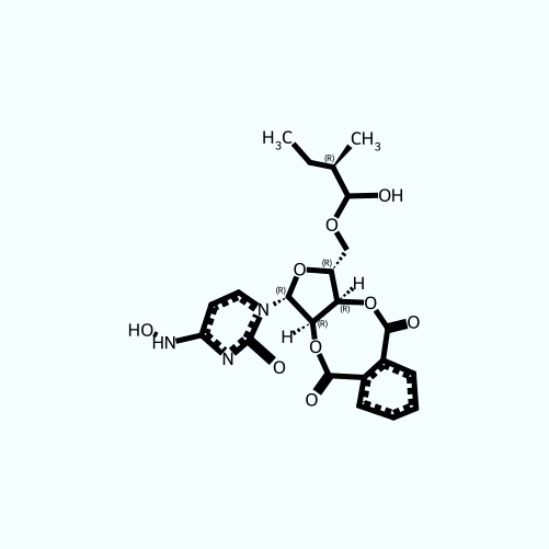 CC[C@@H](C)C(O)OC[C@H]1O[C@@H](n2ccc(NO)nc2=O)[C@@H]2OC(=O)c3ccccc3C(=O)O[C@@H]21